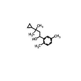 Cc1ccc(C)c(C(O)CC(C)(C)C2CC2)c1